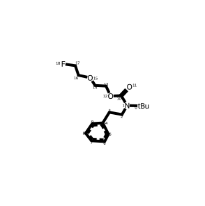 CC(C)(C)N(CCc1ccccc1)C(=O)OCCOCCF